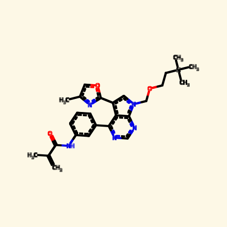 C=C(C)C(=O)Nc1cccc(-c2ncnc3c2c(-c2nc(C)co2)cn3COCC[Si](C)(C)C)c1